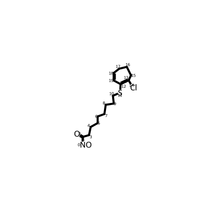 O=NC(=O)CCCCCCCCSC1=C(Cl)CCCC=C1